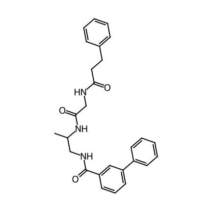 CC(CNC(=O)c1cccc(-c2ccccc2)c1)NC(=O)CNC(=O)CCc1ccccc1